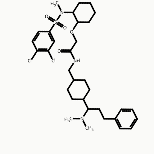 CN(C)C(CCc1ccccc1)C1CCC(CNC(=O)COC2CCCCC2N(C)S(=O)(=O)c2ccc(Cl)c(Cl)c2)CC1